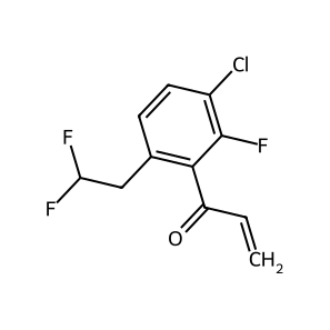 C=CC(=O)c1c(CC(F)F)ccc(Cl)c1F